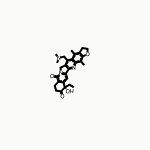 CC[C@@]1(O)C(=O)CCc2c1cc1n(c2=O)Cc2c-1nc1c(C)c3c(c(C)c1c2CN(C)C)CCO3